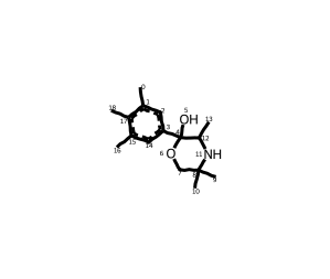 Cc1cc(C2(O)OCC(C)(C)NC2C)cc(C)c1C